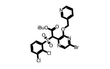 CC(C)COC(=O)C(c1ncc(Br)nc1OCc1cccnc1)S(=O)(=O)c1cccc(Cl)c1Cl